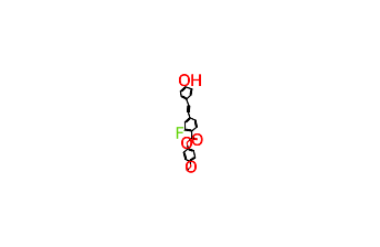 COc1ccc(OC(=O)c2ccc(C#Cc3ccc(O)cc3)cc2F)cc1